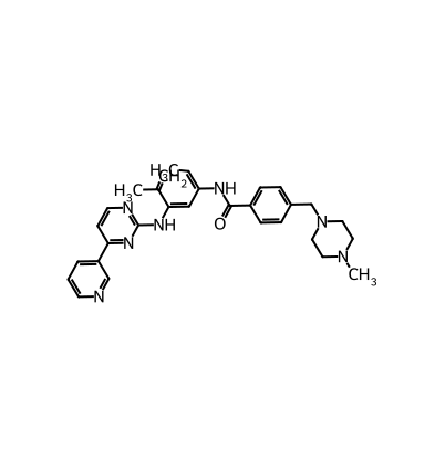 C=C(C)/C(=C\C(=C/C)NC(=O)c1ccc(CN2CCN(C)CC2)cc1)Nc1nccc(-c2cccnc2)n1